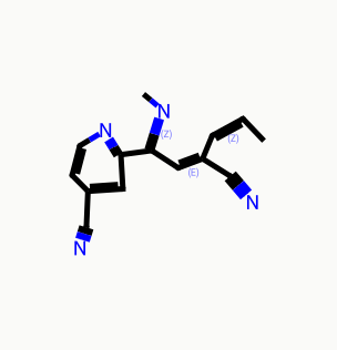 C\C=C/C(C#N)=C\C(=N\C)c1cc(C#N)ccn1